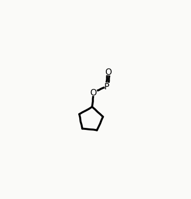 O=POC1CCCC1